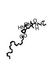 CC/C=C\C/C=C\C/C=C\C/C=C\C/C=C\C/C=C\CCC(=O)Oc1ccc2c(c1)/C(=C/c1[nH]c(C)c(C(=O)NCCN(CC)CC)c1C)C(=O)N2